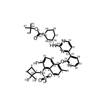 Cc1ccc2c(N(C3CCC3(F)F)S(C)(=O)=O)c(F)ccc2c1Oc1ncccc1-c1ccnc(N[C@H]2CCCN(C(=O)OC(C)(C)C)C2)n1